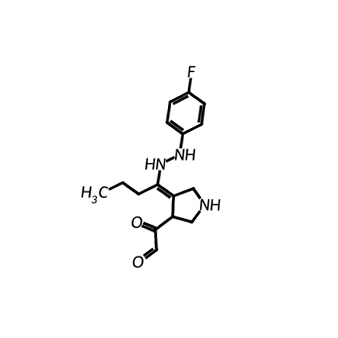 CCCC(NNc1ccc(F)cc1)=C1CNCC1C(=O)C=O